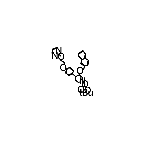 CC(C)(C)OC(=O)ON1CCC(c2ccc(OCCOc3ncccn3)cc2)C(OCc2ccc3ccccc3c2)C1